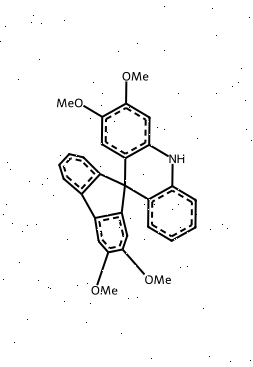 COc1cc2c(cc1OC)C1(c3ccccc3N2)c2ccccc2-c2cc(OC)c(OC)cc21